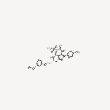 Cc1ccc(-n2nc3c(c2NC(=O)CS(C)(=O)=O)C(=O)N[C@@H](CCOc2cccc(OC(C)C)c2)C3)nc1